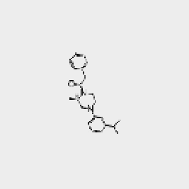 CC(C)c1c[c]cc(N2CCN(C(=O)Cc3ccccc3)[C@H](C)C2)c1